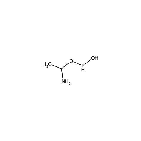 CC(N)OPO